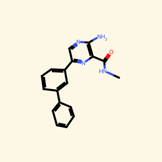 CNC(=O)c1nc(-c2cccc(-c3ccccc3)c2)cnc1N